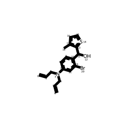 C=CCN(CC=C)c1ccc(C(O)c2sccc2C)c(Br)c1